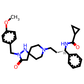 COc1ccc(CN2NC3(CCN(CC[C@H](NC(=O)C4CC4)c4ccccc4)CC3)CC2=O)cc1